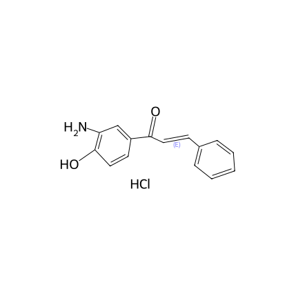 Cl.Nc1cc(C(=O)/C=C/c2ccccc2)ccc1O